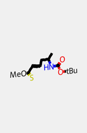 COC(=S)/C=C/CC(C)NC(=O)OC(C)(C)C